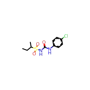 CCC(C)S(=O)(=O)NC(=O)Nc1ccc(Cl)cc1